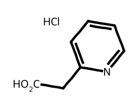 Cl.O=C(O)Cc1ccccn1